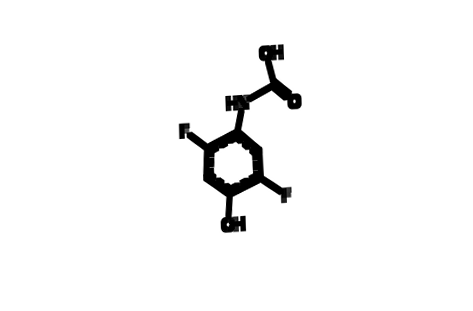 O=C(O)Nc1cc(F)c(O)cc1F